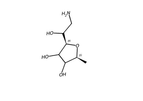 C[C@@H]1O[C@H](C(O)CN)C(O)C1O